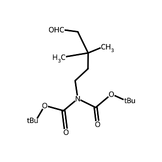 CC(C)(CC=O)CCN(C(=O)OC(C)(C)C)C(=O)OC(C)(C)C